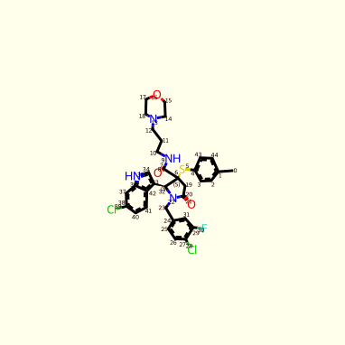 Cc1ccc(S[C@@]2(C(=O)NCCCN3CCOCC3)CC(=O)N(Cc3ccc(Cl)c(F)c3)[C@H]2c2c[nH]c3cc(Cl)ccc23)cc1